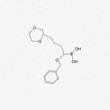 OB(O)C(CCCC1COCCO1)OCc1ccccc1